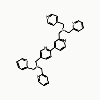 c1ccc(CN(Cc2ccc(-c3ccnc(CN(Cc4ccncc4)Cc4ccccn4)c3)nc2)Cc2ccccn2)nc1